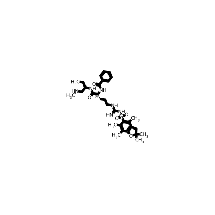 CCC(CNC)NC(=O)[C@@H](CCCNC(=N)NS(=O)(=O)c1c(C)c(C)c2c(c1C)CC(C)(C)O2)NC(=O)c1ccccc1